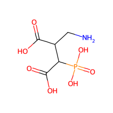 NCC(C(=O)O)C(C(=O)O)P(=O)(O)O